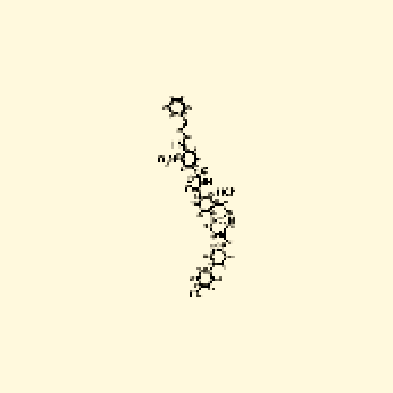 Cl.O=C(NS(=O)(=O)c1ccc(NCCSc2ccccc2)c([N+](=O)[O-])c1)c1ccc2c(c1)CC[C@H]1CN(Cc3ccc(-c4ccc(Cl)cc4)cc3)CCN21